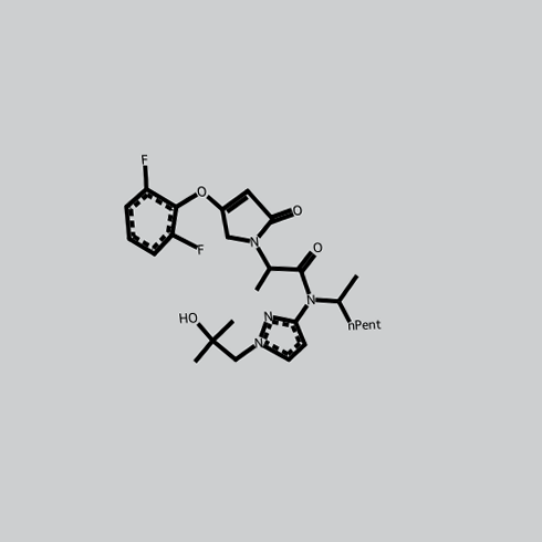 CCCCCC(C)N(C(=O)C(C)N1CC(Oc2c(F)cccc2F)=CC1=O)c1ccn(CC(C)(C)O)n1